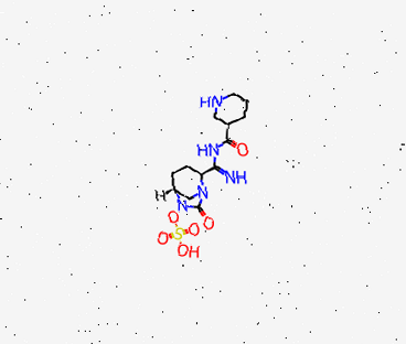 N=C(NC(=O)[C@@H]1CCCNC1)[C@@H]1CC[C@@H]2CN1C(=O)N2OS(=O)(=O)O